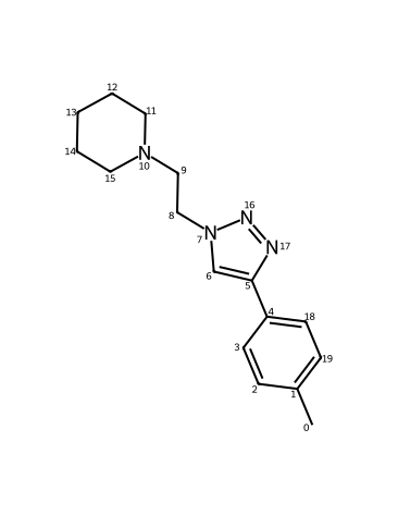 Cc1ccc(-c2cn(CCN3CCCCC3)nn2)cc1